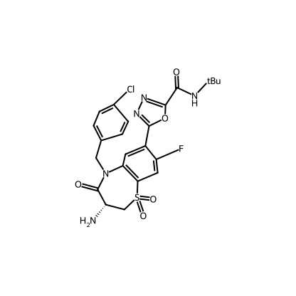 CC(C)(C)NC(=O)c1nnc(-c2cc3c(cc2F)S(=O)(=O)C[C@H](N)C(=O)N3Cc2ccc(Cl)cc2)o1